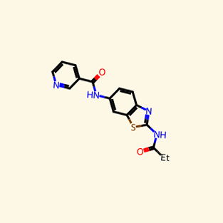 CCC(=O)Nc1nc2ccc(NC(=O)c3cccnc3)cc2s1